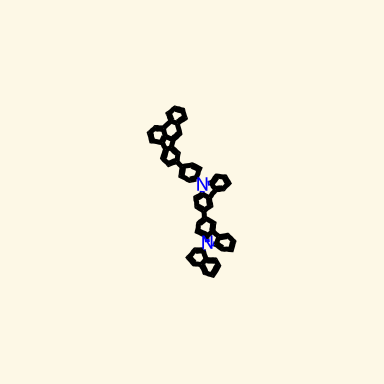 c1ccc2c(-n3c4ccccc4c4cc(-c5ccc6c(c5)c5ccccc5n6-c5ccc(-c6ccc7c(c6)-c6cc8ccccc8c8cccc-7c68)cc5)ccc43)cccc2c1